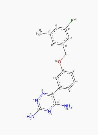 Nc1nnc(-c2cccc(OCc3cc(F)cc(C(F)(F)F)c3)c2)c(N)n1